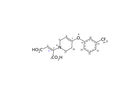 O=C(O)/C=C(\C(=O)O)N1CC=C(Oc2cccc(C(F)(F)F)c2)CC1